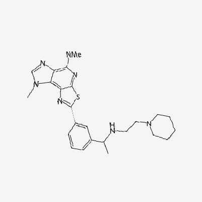 CNc1nc2sc(-c3cccc(C(C)NCCN4CCCCC4)c3)nc2c2c1ncn2C